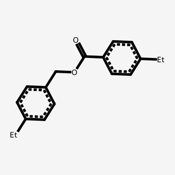 CCc1ccc(COC(=O)c2ccc(CC)cc2)cc1